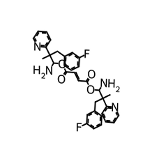 CC(Cc1cccc(F)c1)(c1ccccn1)C(N)OC(=O)/C=C/C(=O)OC(N)C(C)(Cc1cccc(F)c1)c1ccccn1